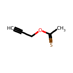 C#CCOC(C)=S